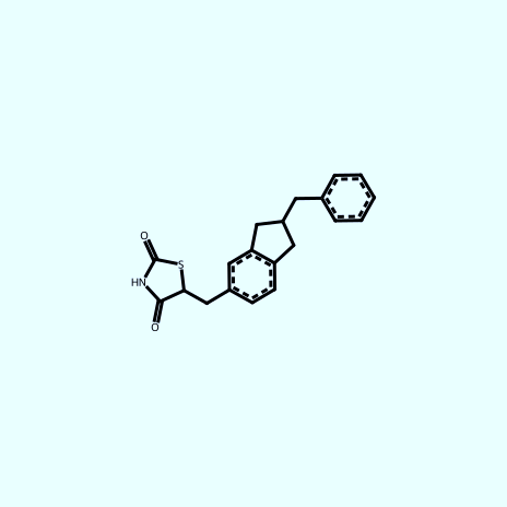 O=C1NC(=O)C(Cc2ccc3c(c2)CC(Cc2ccccc2)C3)S1